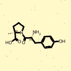 C[C@]1(C(=O)O)CCCN1C(=O)[C@H](N)Cc1ccc(O)cc1